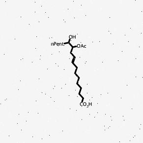 CCCCCC(O)C(CC=CCCCCCCCC(=O)O)OC(C)=O